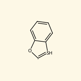 [C]1=[SH]c2ccccc2O1